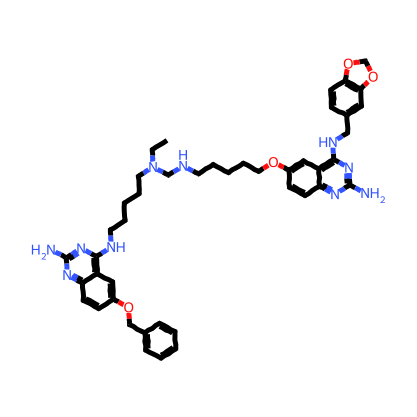 CCN(CCCCCNc1nc(N)nc2ccc(OCc3ccccc3)cc12)CNCCCCCOc1ccc2nc(N)nc(NCc3ccc4c(c3)OCO4)c2c1